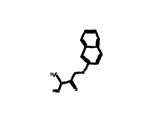 CCCCN(C)C(=O)CSc1ccc2ccccc2c1